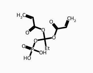 C=CC(=O)OC(CC)(OC(=O)C=C)OP(=O)(O)O